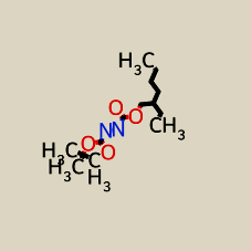 CCCCC(CC)COC(=O)N=NC(=O)OC(C)(C)C